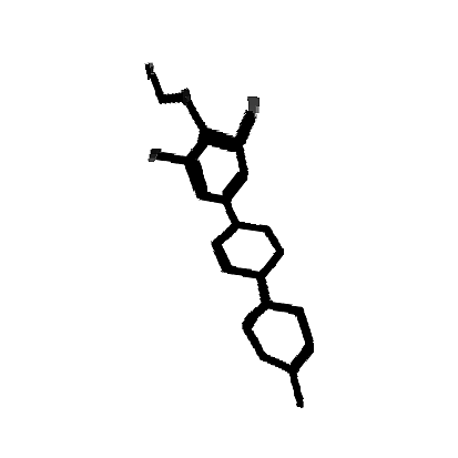 CC1CCC(C2CCC(c3cc(F)c(OCF)c(F)c3)CC2)CC1